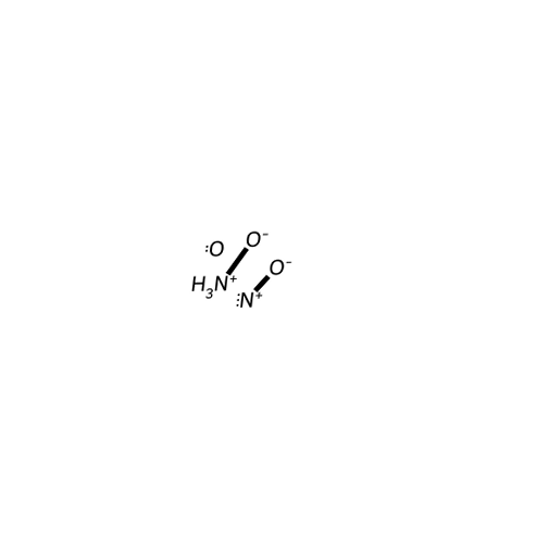 [N+][O-].[NH3+][O-].[O]